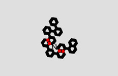 c1ccc(-c2ccccc2-c2ccccc2-c2ccc(N(c3ccc(-c4cccc5ccccc45)cc3)c3c(-c4ccccc4)cccc3-c3ccccc3)cc2)cc1